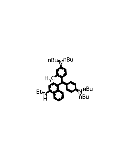 CCCCN(CCCC)c1ccc(C(=C2C=CC(=[N+](CCCC)CCCC)C=C2)c2ccc(NCC)c3ccccc23)c(C)c1